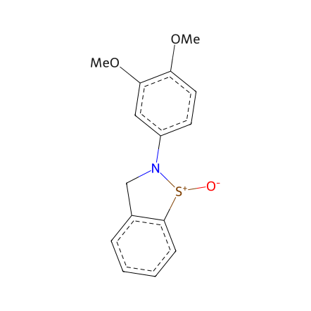 COc1ccc(N2Cc3ccccc3[S+]2[O-])cc1OC